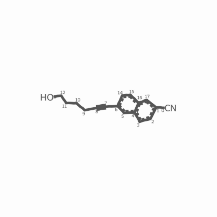 N#Cc1ccc2cc(C#CCCCCO)ccc2c1